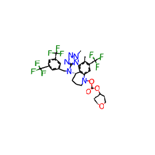 Cc1cc2c(cc1C(F)(F)F)N(OC(=O)OC1CCOCC1)CCC[C@@H]2N(Cc1cc(C(F)(F)F)cc(C(F)(F)F)c1)c1nnn(C)n1